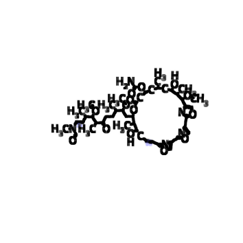 COC(CC1OC(=O)CC(OC(N)=O)CC(C)CC(O)C(C)C(OC)c2coc(n2)-c2coc(n2)-c2coc(n2)/C=C/CC(O)C1C)C(C)CCC(=O)C(C)C(OC)C(C)/C=C/N(C)C=O